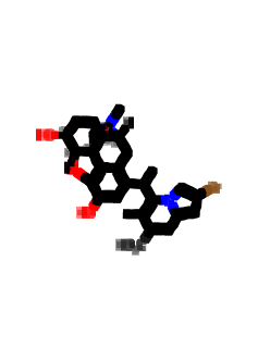 Cc1c(C(=O)O)cc2cc(Br)cn2c1C(C)c1cc(O)c2c3c1C[C@@H]1[C@@H]4C=C[C@H](O)[C@H](O2)[C@]34CCN1C